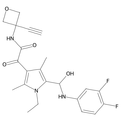 C#CC1(NC(=O)C(=O)c2c(C)c(C(O)Nc3ccc(F)c(F)c3)n(CC)c2C)COC1